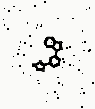 c1cc(-c2nc[nH]n2)cc(-n2nnc3ccccc32)c1